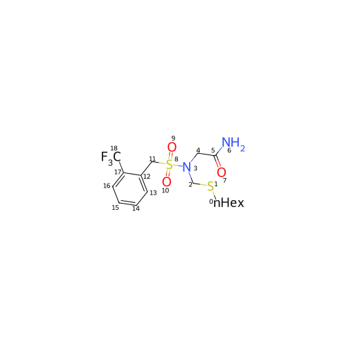 CCCCCCSCN(CC(N)=O)S(=O)(=O)Cc1ccccc1C(F)(F)F